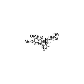 COc1cc(OC)c2c(=O)[nH]c(-c3ncccc3NCCCNC(=O)C(C)C)nc2c1